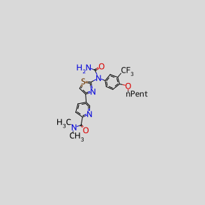 CCCCCOc1ccc(N(C(N)=O)c2nc(-c3ccc(C(=O)N(C)C)nc3)cs2)cc1C(F)(F)F